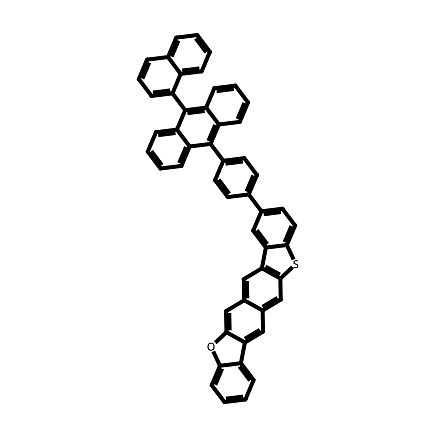 c1ccc2c(-c3c4ccccc4c(-c4ccc(-c5ccc6sc7cc8cc9c(cc8cc7c6c5)oc5ccccc59)cc4)c4ccccc34)cccc2c1